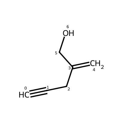 C#CCC(=C)CO